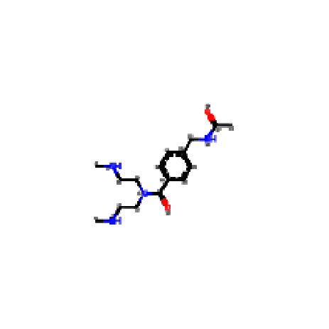 CNCCN(CCNC)C(=O)c1ccc(CNC(C)=O)cc1